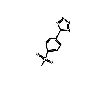 CS(=O)(=O)c1ccc(C2N=NN=N2)cc1